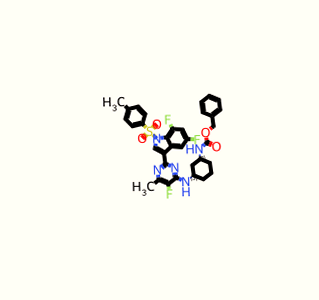 Cc1ccc(S(=O)(=O)n2cc(-c3nc(C)c(F)c(N[C@H]4CCC[C@@H](NC(=O)OCc5ccccc5)C4)n3)c3cc(F)cc(F)c32)cc1